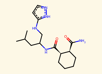 CC(C)CC(CNc1ccn[nH]1)NC(=O)[C@@H]1CCCC[C@@H]1C(N)=O